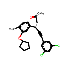 COC(=O)C[C@H](C#Cc1cc(Cl)cc(Cl)c1)c1ccc(OC)c(OC2CCCC2)c1